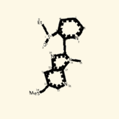 CC[S+]([O-])c1cccnc1-c1nc2cc(SC)cnc2n1C